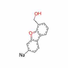 OCc1cccc2c1oc1c[c]([Na])ccc12